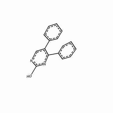 Oc1ncc(-c2ccccc2)c(-c2ccccc2)n1